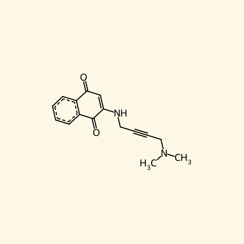 CN(C)CC#CCNC1=CC(=O)c2ccccc2C1=O